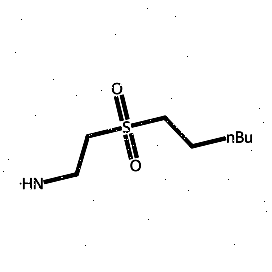 CCCCCCS(=O)(=O)CC[NH]